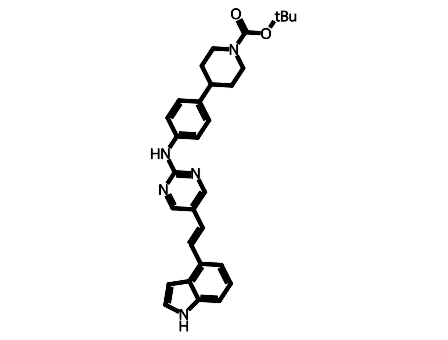 CC(C)(C)OC(=O)N1CCC(c2ccc(Nc3ncc(/C=C/c4cccc5[nH]ccc45)cn3)cc2)CC1